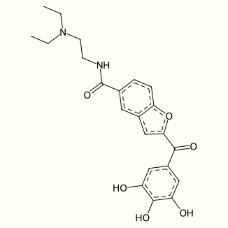 CCN(CC)CCNC(=O)c1ccc2oc(C(=O)c3cc(O)c(O)c(O)c3)cc2c1